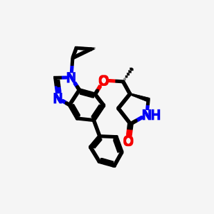 C[C@@H](Oc1cc(-c2ccccc2)cc2ncn(C3CC3)c12)[C@H]1CNC(=O)C1